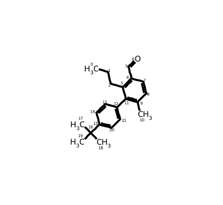 CCCc1c(C=O)ccc(C)c1-c1ccc(C(C)(C)C)cc1